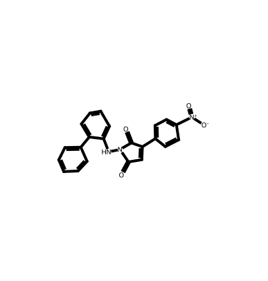 O=C1C=C(c2ccc([N+](=O)[O-])cc2)C(=O)N1Nc1ccccc1-c1ccccc1